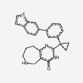 O=c1[nH]c(C2(c3cccc(-c4ccc5ncsc5c4)c3)CC2)nc2c1CNCCC2